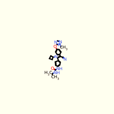 CC(C)NC(=O)Nc1ccc(-c2c(C#N)c3ccc(Oc4ncnn4C)cc3n2C2CCC2)cc1